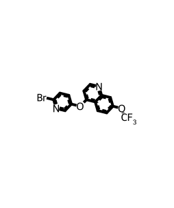 FC(F)(F)Oc1ccc2c(Oc3ccc(Br)nc3)ccnc2c1